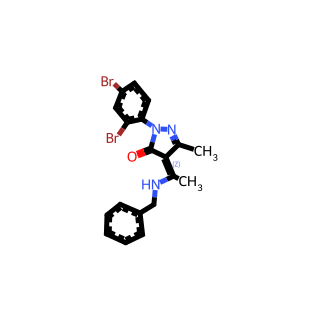 CC1=NN(c2ccc(Br)cc2Br)C(=O)/C1=C(/C)NCc1ccccc1